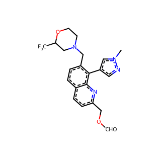 Cn1cc(-c2c(CN3CCOC(C(F)(F)F)C3)ccc3ccc(COC=O)nc23)cn1